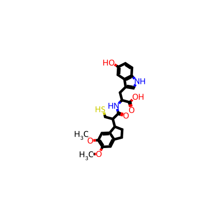 COc1cc2c(cc1OC)C(C(CS)C(=O)NC(Cc1c[nH]c3ccc(O)cc13)C(=O)O)CC2